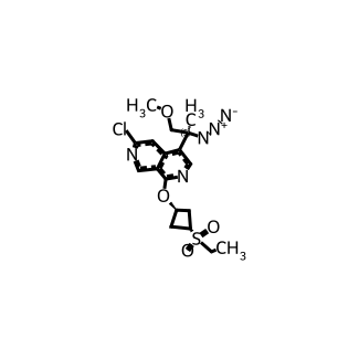 CCS(=O)(=O)[C@H]1C[C@@H](Oc2ncc([C@@](C)(COC)N=[N+]=[N-])c3cc(Cl)ncc23)C1